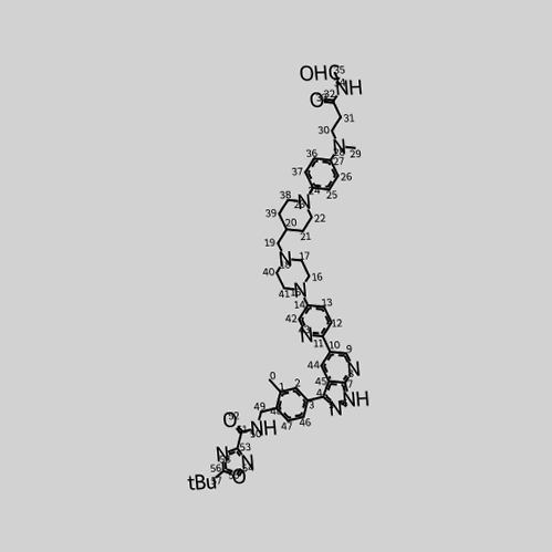 Cc1cc(-c2n[nH]c3ncc(-c4ccc(N5CCN(CC6CCN(c7ccc(N(C)CCC(=O)NC=O)cc7)CC6)CC5)cn4)cc23)ccc1CNC(=O)c1noc(C(C)(C)C)n1